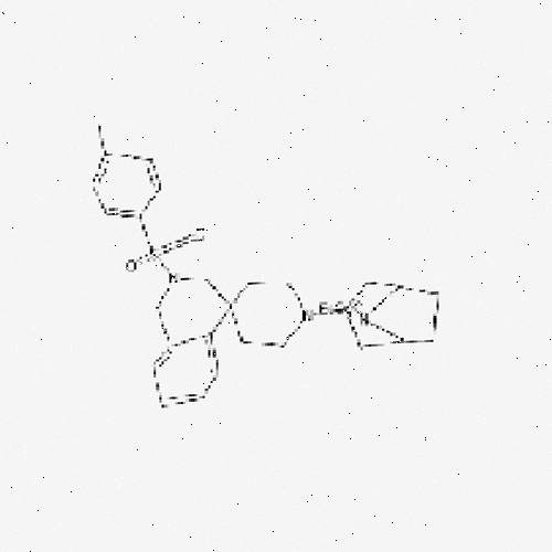 CCOC(=O)N1C2CCC1CC(N1CCC3(CC1)CN(S(=O)(=O)c1ccc(C)cc1)Cc1ccccc13)C2